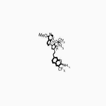 COc1ncnc2c1ccn2[C@@H]1C[C@H](CCc2ccc3cc(C(F)(F)F)c(N)nc3c2)[C@H]2OC(C)(C)O[C@H]21